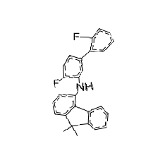 CC1(C)c2ccccc2-c2c(Nc3cc(-c4ccccc4F)ccc3F)cccc21